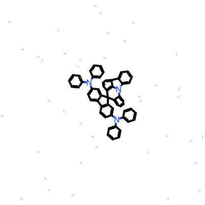 c1ccc(N(c2ccccc2)c2ccc3c(c2)C2(c4cc(N(c5ccccc5)c5ccccc5)ccc4-3)c3ccccc3-n3c4ccccc4c4cccc2c43)cc1